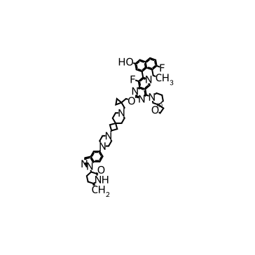 C=C1CCC(n2ncc3cc(N4CCN(C5CC6(CCN(CC7(COc8nc(N9CCC[C@]%10(CCO%10)C9)c9cnc(-c%10cc(O)cc%11ccc(F)c(CC)c%10%11)c(F)c9n8)CC7)CC6)C5)CC4)ccc32)C(=O)N1